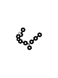 C1=Cc2c(ccc3c2-c2cc(-c4ccc(N(c5ccccc5)c5ccc(-c6ccc(-c7ccccc7)cc6)cc5)cc4)ccc2C3)OC=1c1ccccc1